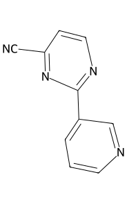 N#Cc1ccnc(-c2cccnc2)n1